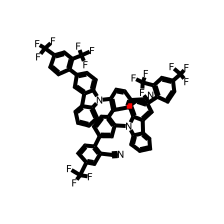 N#Cc1ccc(-n2c3ccccc3c3cc(-c4ccc(C(F)(F)F)cc4C(F)(F)F)ccc32)c(-c2ccc(-c3ccc(C(F)(F)F)cc3C#N)cc2-n2c3ccccc3c3cc(-c4ccc(C(F)(F)F)cc4C(F)(F)F)ccc32)c1